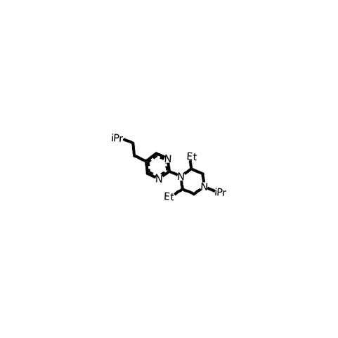 CCC1CN(C(C)C)CC(CC)N1c1ncc(CCC(C)C)cn1